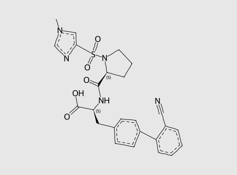 Cn1cnc(S(=O)(=O)N2CCC[C@H]2C(=O)N[C@@H](Cc2ccc(-c3ccccc3C#N)cc2)C(=O)O)c1